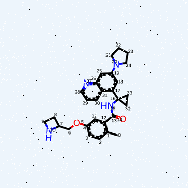 Cc1ccc(OCC2CCN2)cc1C(=O)NC1(c2cc(N3CCCC3)cc3ncccc23)CC1